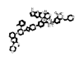 COc1cc2c(nc1N1CCOCC1)CCC[C@H]2N1CCN(C2CC3(CCN(c4ccc(C(=O)NS(=O)(=O)c5ccc(NCC6CCOCC6)c([N+](=O)[O-])c5)c(N5c6cc7cc[nH]c7nc6O[C@H]6COCC[C@@H]65)c4)CC3)C2)[C@H](c2ccccc2C)C1